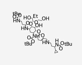 CC[C@@H](O)[C@H](OCCO)O[C@@H]1[C@@H](O)[C@H](O[C@@H]2CCC=C(CNCCC(NC(=O)OC(C)(C)C)C3CC3)O2)[C@@H](NC(=O)OC(C)(C)C)C[C@H]1NC(=O)CCNC(=O)OC(C)(C)C